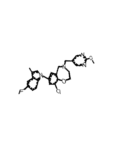 COc1ncc(CN2CCOc3c(Cl)cc(-n4cc(C)c5cc(F)ccc54)cc3C2)cn1